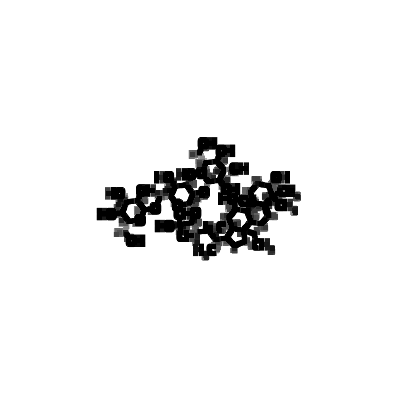 CC[C@@]12CCC([C@H](C)CC[C@@H](O[C@@H]3O[C@H](COC4O[C@H](CO)[C@@H](O)[C@H](O)[C@H]4O)[C@@H](O)[C@H](O)[C@H]3O[C@@H]3O[C@H](CO)[C@@H](O)[C@H](O)[C@H]3O)C(C)(C)O)[C@@]1(C)C[C@@H](O)[C@@]1(C)C3CC[C@H](O)C(C)(C)C3=CCC12